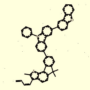 C=C/C=C\c1c(C)sc2c3c(ccc12)C(C)(C)c1ccc(-c2ccc4c(c2)c2cc(-c5ccc6oc7ccccc7c6c5)ccc2n4-c2ccccc2)cc1-3